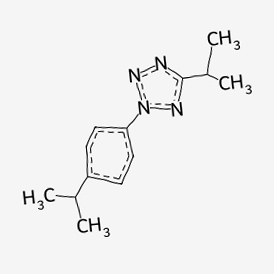 CC(C)c1ccc(-n2nnc(C(C)C)n2)cc1